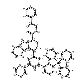 c1ccc(-c2ccc(-c3ccc(-c4nc(-c5ccccc5)nc(-c5cccc(C6(c7ccccc7)c7ccccc7-c7ccccc76)c5)n4)c4c3oc3ccccc34)cc2)cc1